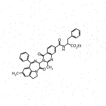 CCOC(=O)C(Cc1ccccc1)NC(=O)c1ccc2c(=O)n(C3N=C(c4ccccc4)c4cc(C)cc5c4N(CC5)C3=O)c(C)nc2c1